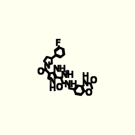 N=C(C(=O)NCc1ccc2c(c1)NC(=O)CO2)c1[nH]cc(C(=O)N2CCC(c3cccc(F)c3)C2)c1N